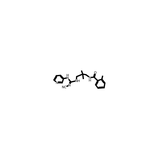 Cc1ccccc1C(=O)NCC(C)(C)CNC(=NC#N)Nc1cccnc1